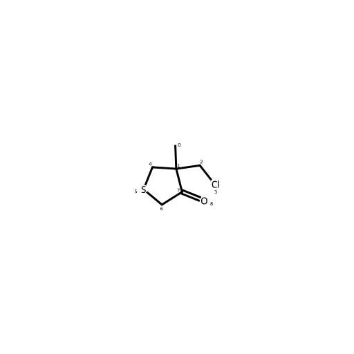 CC1(CCl)CSCC1=O